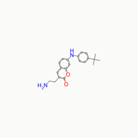 CC(C)(C)c1ccc(Nc2ccc3cc(CCN)c(=O)oc3c2)cc1